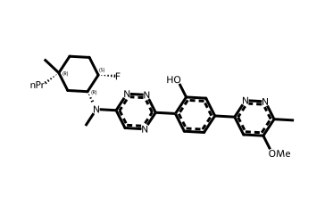 CCC[C@]1(C)CC[C@H](F)[C@H](N(C)c2cnc(-c3ccc(-c4cc(OC)c(C)nn4)cc3O)nn2)C1